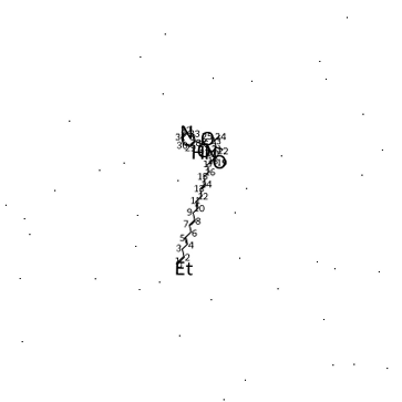 CCC=CCC=CCC=CCC=CCC=CCCCC(=O)NC(C)C(C)OC(=O)c1cccnc1